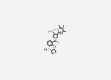 CC1=N/C(=C2\CN(C(=O)c3ccccc3O[C@H]3COC[C@@H]3O)CC2=N)NC(C)=C1Cl